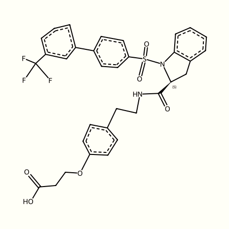 O=C(O)CCOc1ccc(CCNC(=O)[C@@H]2Cc3ccccc3N2S(=O)(=O)c2ccc(-c3cccc(C(F)(F)F)c3)cc2)cc1